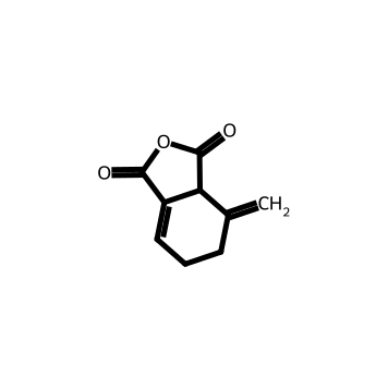 C=C1CCC=C2C(=O)OC(=O)C12